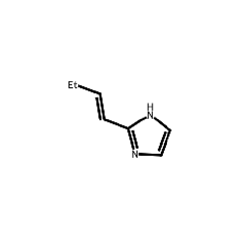 CCC=Cc1ncc[nH]1